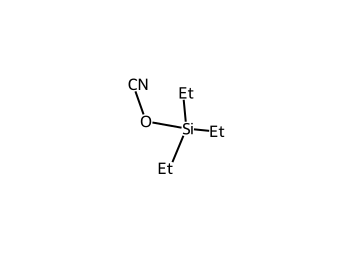 CC[Si](CC)(CC)OC#N